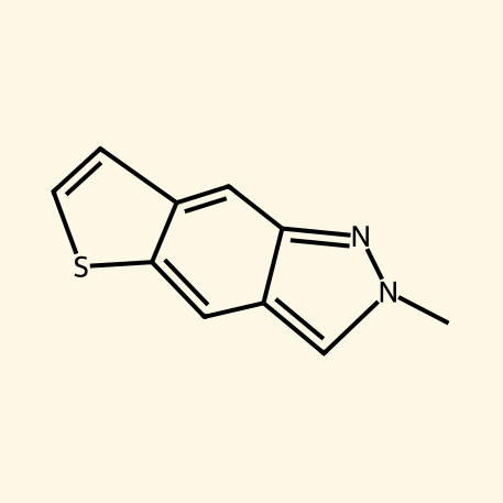 Cn1cc2cc3sccc3cc2n1